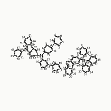 c1ccc(-c2ccc(N(c3cccc(-c4ccc(-c5cccc6c5oc5ccc7c(c56)-c5ccccc5C75c6ccccc6-c6ccccc65)cc4)c3)c3ccc4c(c3)c3ccccc3n4-c3ccccc3)cc2)cc1